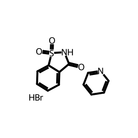 Br.O=C1NS(=O)(=O)c2ccccc21.c1ccncc1